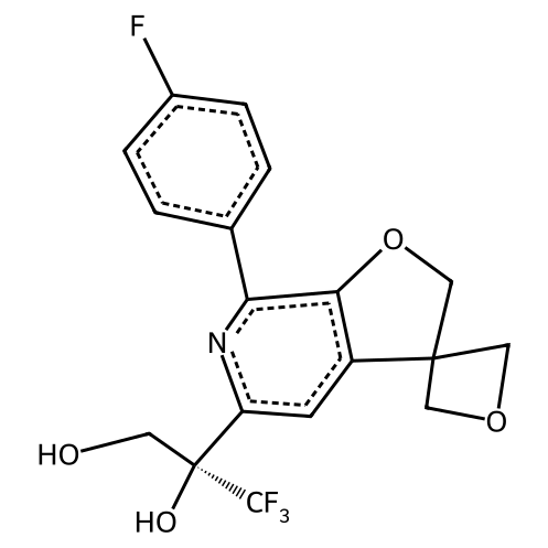 OC[C@](O)(c1cc2c(c(-c3ccc(F)cc3)n1)OCC21COC1)C(F)(F)F